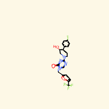 O=c1nc(N2CC=C(c3ccc(F)cc3)C(O)C2)ncn1Cc1ccc(C(F)(F)F)o1